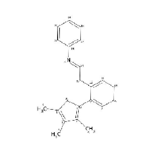 CC1=C(C)C(C)=C(c2ccccc2CC=Nc2ccccc2)C1